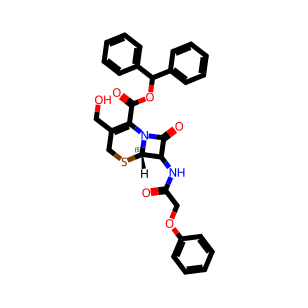 O=C(COc1ccccc1)NC1C(=O)N2C(C(=O)OC(c3ccccc3)c3ccccc3)=C(CO)CS[C@@H]12